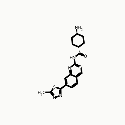 Cc1nnc(-c2ccc3cnc(NC(=O)[C@H]4CC[C@H](N)CC4)nc3c2)s1